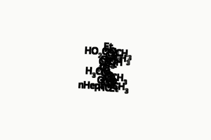 CCCCCCCNC(=O)NC1C=C[C@]2(O[C@H](C(CC)C(=O)[C@@H](C)[C@@H](O)[C@H](C)[C@@H]3O[C@@H]([C@@H](CC)C(=O)O)CC[C@@H]3C)[C@@H](C)C[C@H]2C)O[C@@]12CC[C@@](C)([C@H]1CC[C@](O)(CC)[C@H](C)O1)O2